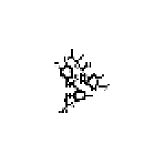 COc1cnc2c(-c3nc4cc(F)c(O[C@@H](C)[C@@H](C)OC(=O)Nc5cnc(OC)c(C)c5)cc4s3)cc(C)cc2n1